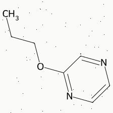 CCCOc1[c]nccn1